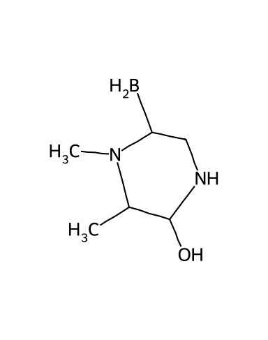 BC1CNC(O)C(C)N1C